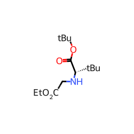 CCOC(=O)CN[C@H](C(=O)OC(C)(C)C)C(C)(C)C